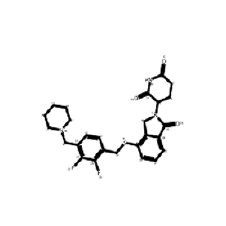 O=C1CCC(N2Cc3c(SCc4ccc(CN5CCCCC5)c(F)c4F)cccc3C2=O)C(=O)N1